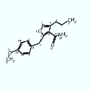 CCCc1noc(Cc2ccc(OC)cc2)c1C(N)=O